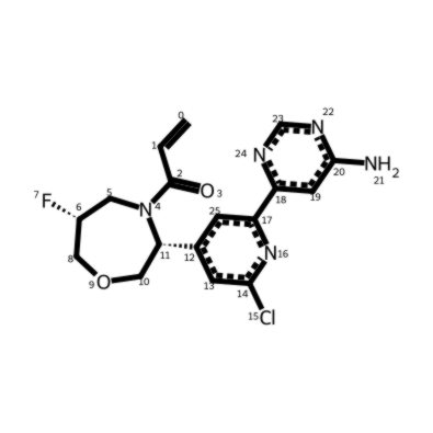 C=CC(=O)N1C[C@@H](F)COC[C@H]1c1cc(Cl)nc(-c2cc(N)ncn2)c1